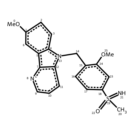 COc1ccc2c(c1)c1ncccc1n2Cc1ccc(S(C)(=N)=O)cc1OC